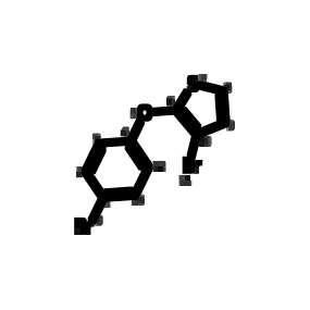 Brc1ccc(Oc2sccc2Br)cc1